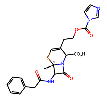 O=C(Cc1ccccc1)NC1C(=O)N2C(C(=O)O)C(CCOC(=O)n3ccnc3)=CS[C@@H]12